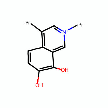 CC(C)c1c[n+](C(C)C)cc2c(O)c(O)ccc12